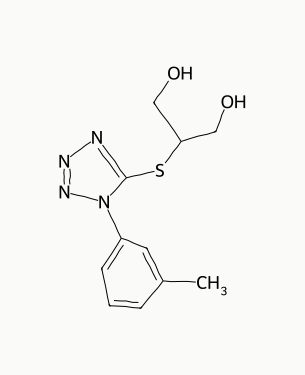 Cc1cccc(-n2nnnc2SC(CO)CO)c1